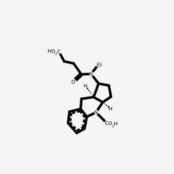 CCN(C(=O)CCC(=O)O)C1CC[C@@H]2[C@H]1Cc1ccccc1N2C(=O)O